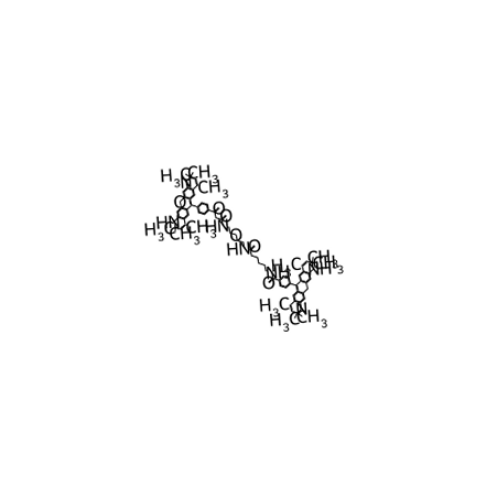 CC1=CC(C)(C)Nc2cc3c(cc21)C(c1ccc(C(=O)NCCCCCC(=O)NCCOCCNC(=O)CC(=O)c2ccc(C4=c5cc6c(cc5Oc5cc7c(cc54)C(C)=CC(C)(C)N7)=NC(C)(C)C=C6C)cc2)cc1)=c1cc2c(cc1C3)=NC(C)(C)C=C2C